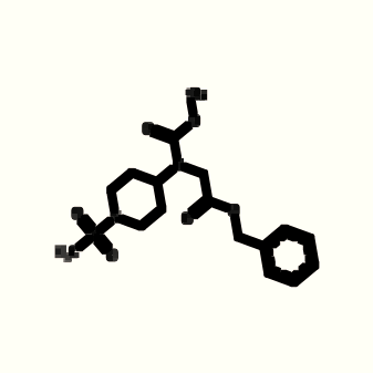 CC(C)(C)OC(=O)N(CC(=O)OCc1ccccc1)C1CCN(S(C)(=O)=O)CC1